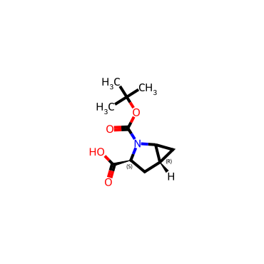 CC(C)(C)OC(=O)N1C2C[C@@H]2C[C@H]1C(=O)O